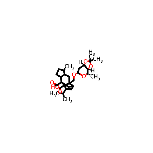 CC(C)C1=CC2CC3(C=O)C4CCC(C)C4CC2(CO[C@H]2C[C@@H]4OC(C)(C)O[C@@H]4[C@@H](C)O2)C13C(=O)O